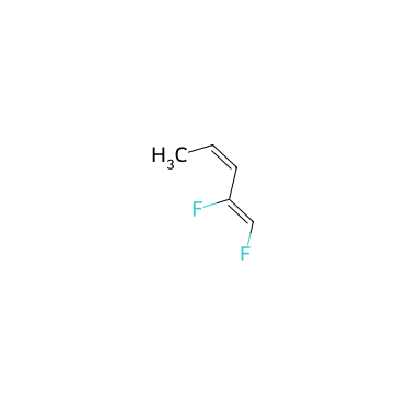 C/C=C\C(F)=C\F